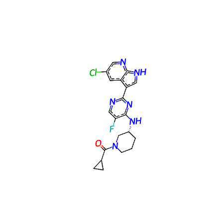 O=C(C1CC1)N1CCC[C@@H](Nc2nc(-c3c[nH]c4ncc(Cl)cc34)ncc2F)C1